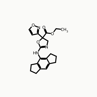 CCOC(=O)C1(c2ccon2)CN=C(Nc2c3c(cc4c2CCC4)CCC3)O1